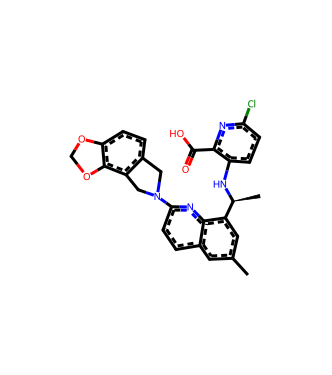 Cc1cc([C@H](C)Nc2ccc(Cl)nc2C(=O)O)c2nc(N3Cc4ccc5c(c4C3)OCO5)ccc2c1